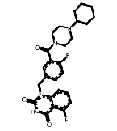 O=C(c1cc(Cn2c(=O)[nH]c(=O)c3c(F)cccc32)ccc1F)N1CCN(C2CCCCC2)CC1